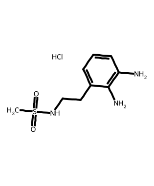 CS(=O)(=O)NCCc1cccc(N)c1N.Cl